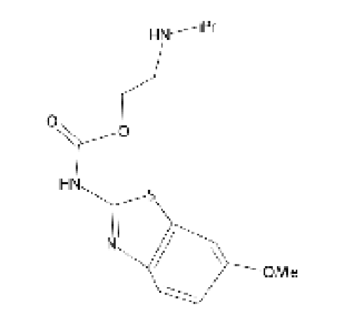 COc1ccc2nc(NC(=O)OCCNC(C)C)sc2c1